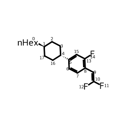 CCCCCC[C@H]1CC[C@H](c2ccc(C=C(F)F)c(F)c2)CC1